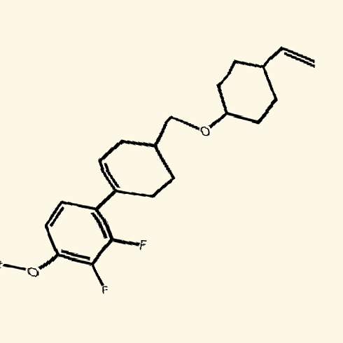 C=CC1CCC(OCC2CC=C(c3ccc(OCC)c(F)c3F)CC2)CC1